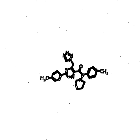 Cc1ccc(-c2cnc(C(=O)N(c3ccc(C)cc3)N3CCCCC3)c(Cn3cnnn3)n2)cc1